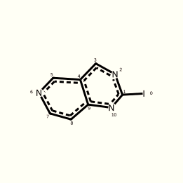 Ic1ncc2cnccc2n1